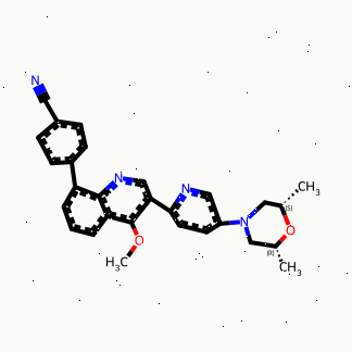 COc1c(-c2ccc(N3C[C@@H](C)O[C@@H](C)C3)cn2)cnc2c(-c3ccc(C#N)cc3)cccc12